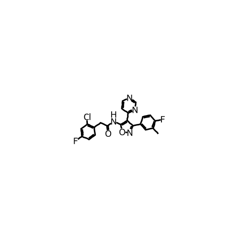 Cc1cc(-c2noc(NC(=O)Cc3ccc(F)cc3Cl)c2-c2ccncn2)ccc1F